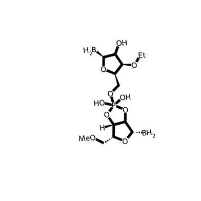 B[C@@H]1O[C@H](COP2(O)(O)OC3[C@H](B)O[C@H](COC)[C@@H]3O2)[C@H](OCC)C1O